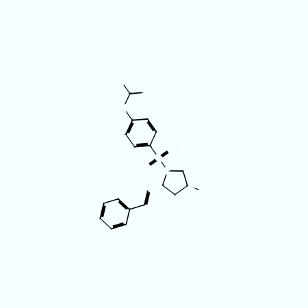 CC(C)Oc1ccc(S(=O)(=O)N2C[C@@H](C)C[C@@H]2C=Cc2ccccc2)cc1